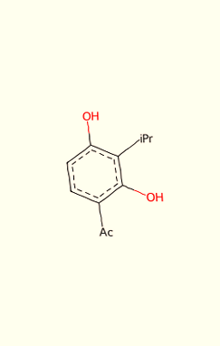 CC(=O)c1ccc(O)c(C(C)C)c1O